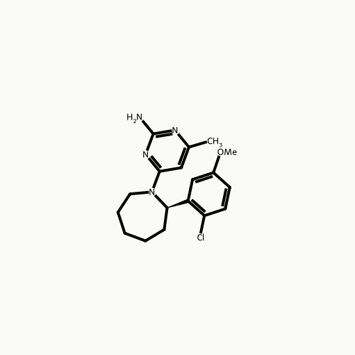 COc1ccc(Cl)c([C@H]2CCCCCN2c2cc(C)nc(N)n2)c1